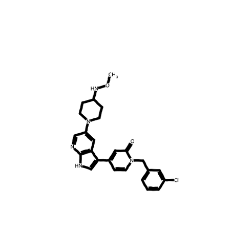 CONC1CCN(c2cnc3[nH]cc(-c4ccn(Cc5cccc(Cl)c5)c(=O)c4)c3c2)CC1